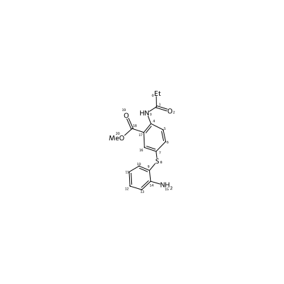 CCC(=O)Nc1ccc(Sc2ccccc2N)cc1C(=O)OC